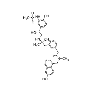 CN(Cc1cccc2cc(O)ccc12)C(=O)Cc1cccc(CC(C)(C)NC[C@H](O)c2ccc(O)c(NS(C)(=O)=O)c2)c1